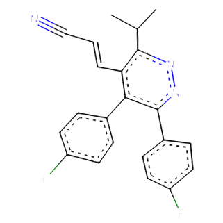 CC(C)c1nnc(-c2ccc(F)cc2)c(-c2ccc(F)cc2)c1C=CC#N